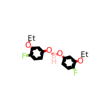 CCOc1cc(OBOc2ccc(F)c(OCC)c2)ccc1F